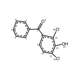 O=C(c1ccccc1)c1ccc(Cl)c(O)c1Cl